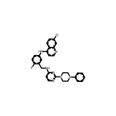 Fc1ccc(Nc2ccnc3cc(Cl)ccc23)cc1CNc1ccnc(N2CCN(c3ccccc3)CC2)n1